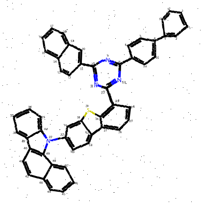 c1ccc(-c2ccc(-c3nc(-c4ccc5ccccc5c4)nc(-c4cccc5c4sc4cc(-n6c7ccccc7c7ccc8ccccc8c76)ccc45)n3)cc2)cc1